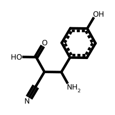 N#CC(C(=O)O)C(N)c1ccc(O)cc1